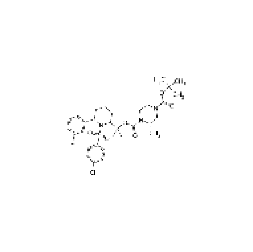 C[C@H]1CN(C(=O)OC(C)(C)C)CCN1C(=O)OC1(C2CCCC(c3cccc(F)c3)N2S(=O)(=O)c2ccc(Cl)cc2)CC1